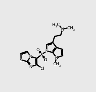 CN(C)CCc1cn(S(=O)(=O)c2c(Cl)nc3sccn23)c2c1ccn2C